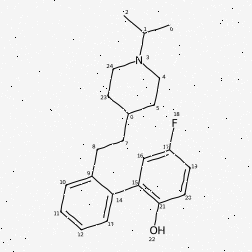 CC(C)N1CCC(CCc2ccccc2-c2cc(F)ccc2O)CC1